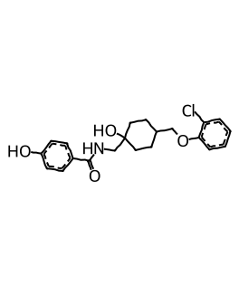 O=C(NCC1(O)CCC(COc2ccccc2Cl)CC1)c1ccc(O)cc1